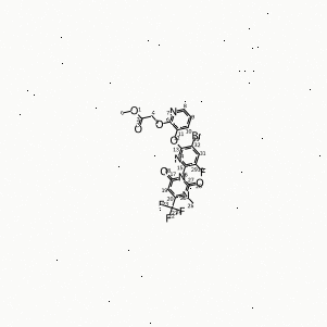 COC(=O)COc1ncccc1Oc1nc(-n2c(=O)cc(C(F)(F)F)n(C)c2=O)c(F)cc1Br